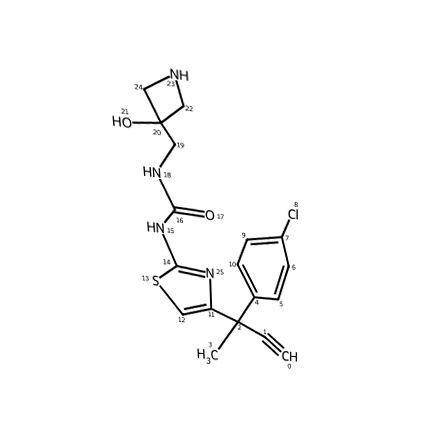 C#CC(C)(c1ccc(Cl)cc1)c1csc(NC(=O)NCC2(O)CNC2)n1